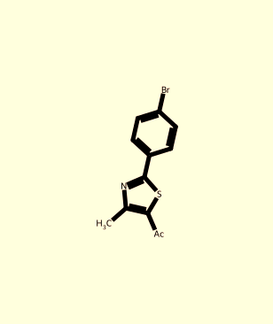 CC(=O)c1sc(-c2ccc(Br)cc2)nc1C